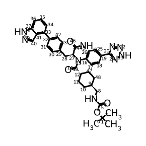 CC(C)(C)OC(=O)NC[C@H]1CC[C@H](C(=O)N(c2ccc(-c3nn[nH]n3)cc2)[C@@H](Cc2ccc(-c3cccc4[nH]ncc34)cc2)C(N)=O)CC1